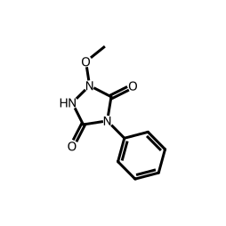 COn1[nH]c(=O)n(-c2ccccc2)c1=O